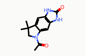 CC(=O)N1CC(C)(C)c2cc3[nH]c(=O)[nH]c3cc21